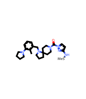 CSNc1ccn(C(=O)N2CCC3(CCCN3Cc3cccc(N4CCCC4)c3C)CC2)n1